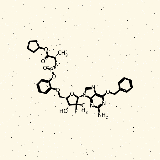 C[C@H](/N=[P+](\[O-])Oc1ccccc1OC[C@H]1O[C@@H](n2cnc3c(OCc4ccccc4)nc(N)nc32)[C@](C)(F)[C@@H]1O)C(=O)OC1CCCC1